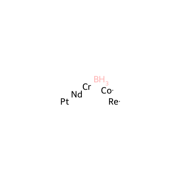 B.[Co].[Cr].[Nd].[Pt].[Re]